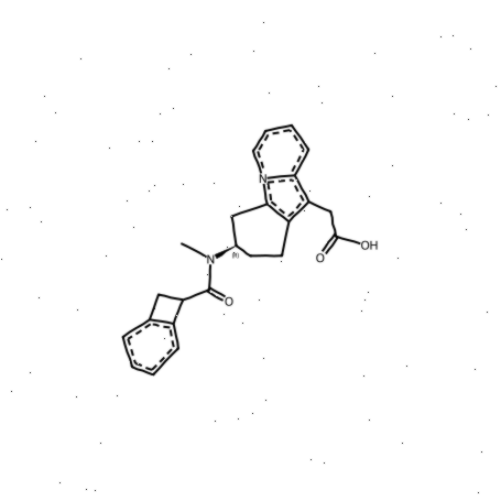 CN(C(=O)C1Cc2ccccc21)[C@@H]1CCc2c(CC(=O)O)c3ccccn3c2C1